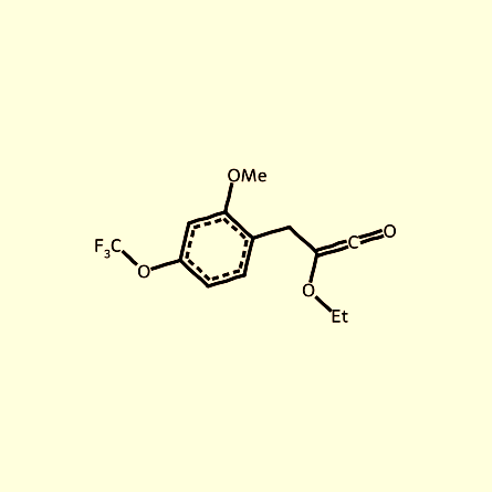 CCOC(=C=O)Cc1ccc(OC(F)(F)F)cc1OC